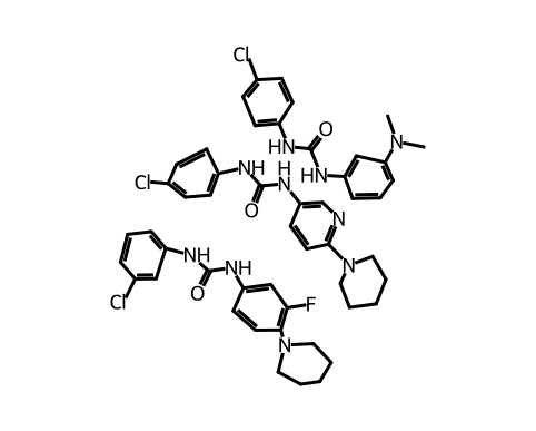 CN(C)c1cccc(NC(=O)Nc2ccc(Cl)cc2)c1.O=C(Nc1ccc(Cl)cc1)Nc1ccc(N2CCCCC2)nc1.O=C(Nc1cccc(Cl)c1)Nc1ccc(N2CCCCC2)c(F)c1